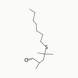 CCCCCCCSC(C)(C)CC(C)C=O